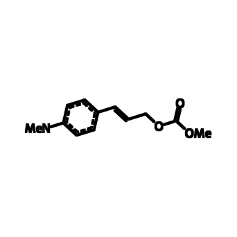 CNc1ccc(/C=C/COC(=O)OC)cc1